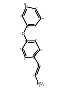 O=[N+]([O-])C=Cc1ccc(Oc2cccnc2)cc1